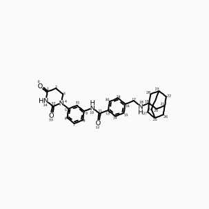 O=C1CCN(c2cccc(NC(=O)c3ccc(CNC45CC6CC(CC(C6)C4)C5)cc3)c2)C(=O)N1